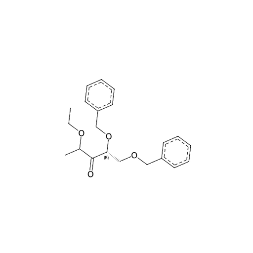 CCOC(C)C(=O)[C@@H](COCc1ccccc1)OCc1ccccc1